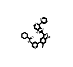 O=C(Nc1cncc(-c2cc3c(-c4nc5c(-c6ccccn6)nccc5[nH]4)n[nH]c3cc2F)c1)C1CCCCC1